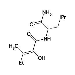 CC/C(C)=C(\O)C(=O)N[C@@H](CC(C)C)C(N)=O